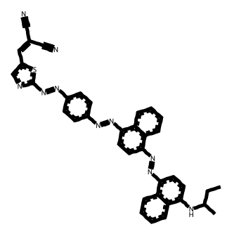 CCC(C)Nc1ccc(/N=N/c2ccc(/N=N/c3ccc(/N=N/c4ncc(C=C(C#N)C#N)s4)cc3)c3ccccc23)c2ccccc12